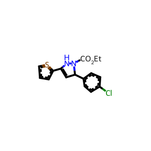 CCOC(=O)N1NC(c2cccs2)=CC1c1ccc(Cl)cc1